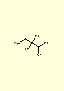 CCC(C)(C)C(O)P